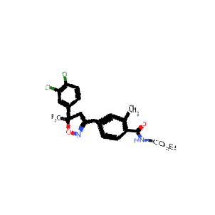 CCOC(=O)NC(=O)c1ccc(C2=NOC(c3ccc(Cl)c(Cl)c3)(C(F)(F)F)C2)cc1C